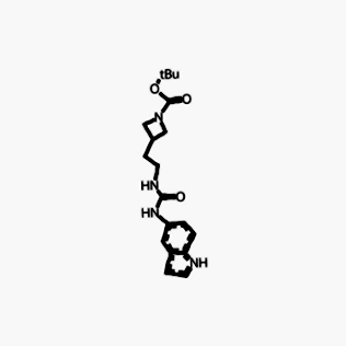 CC(C)(C)OC(=O)N1CC(CCNC(=O)Nc2ccc3[nH]ccc3c2)C1